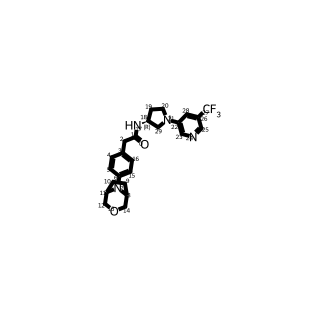 O=C(Cc1ccc(N2C3CCC2COC3)cc1)N[C@@H]1CCN(c2cncc(C(F)(F)F)c2)C1